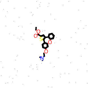 CCOC(=O)c1cc2c(s1)-c1ccc(OCCN(C)C)cc1Oc1ccccc1-2